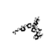 CCC[C@H]1N(C(=O)c2cnccc2C(F)(F)F)CCC[C@@]1(Oc1csc(C(F)(F)F)c1)C(=O)N1CCC(Oc2cccc(OCCN(C)C)n2)CC1